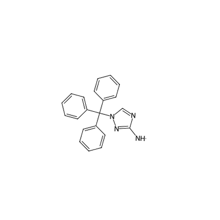 [NH]c1ncn(C(c2ccccc2)(c2ccccc2)c2ccccc2)n1